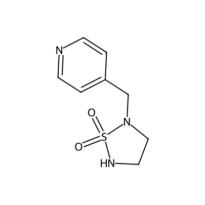 O=S1(=O)NCCN1Cc1ccncc1